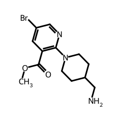 COC(=O)c1cc(Br)cnc1N1CCC(CN)CC1